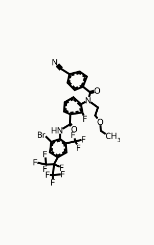 CCOCCN(C(=O)c1ccc(C#N)cc1)c1cccc(C(=O)Nc2c(Br)cc(C(F)(C(F)(F)F)C(F)(F)F)cc2C(F)(F)F)c1F